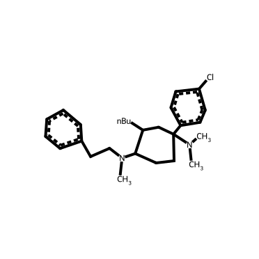 CCCCC1CC(c2ccc(Cl)cc2)(N(C)C)CCC1N(C)CCc1ccccc1